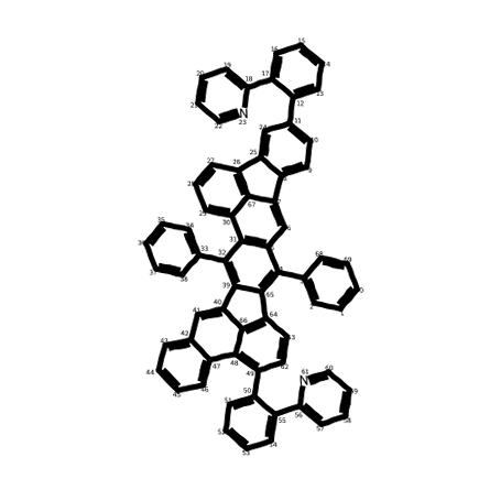 c1ccc(-c2c3cc4c5ccc(-c6ccccc6-c6ccccn6)cc5c5cccc(c3c(-c3ccccc3)c3c6cc7ccccc7c7c(-c8ccccc8-c8ccccn8)ccc(c23)c67)c54)cc1